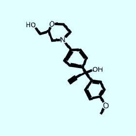 C#CC(O)(c1ccc(OC)cc1)c1ccc(N2CCOC(CO)C2)cc1